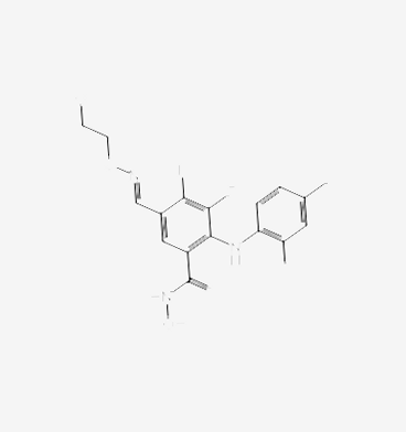 O=C(NO)c1cc(/C=N/OCCO)c(F)c(F)c1Nc1ccc(I)cc1F